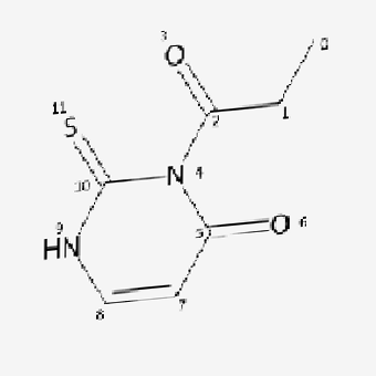 CCC(=O)n1c(=O)cc[nH]c1=S